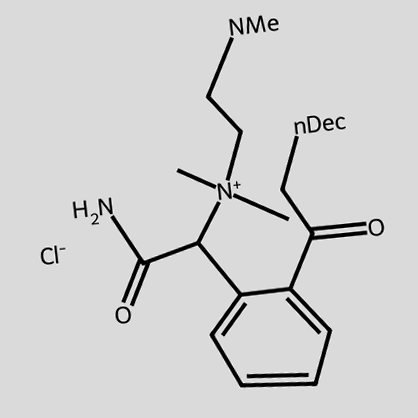 CCCCCCCCCCCC(=O)c1ccccc1C(C(N)=O)[N+](C)(C)CCNC.[Cl-]